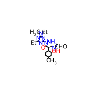 CCc1nc(N(C)CC)nc(N(N)C(=O)[C@@H](CN(O)C=O)C2CCC(C)CC2)n1